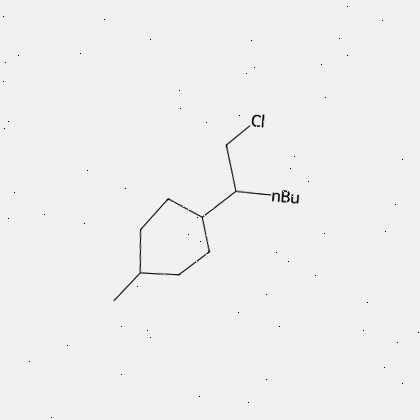 CCCCC(CCl)C1CCC(C)CC1